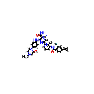 C[C@@H]1[C@H](NC(=O)c2ccc(C3CC3)cc2F)CCCN1c1cnc(C(N)=O)c(Nc2ccc(N3CCN(C)CC3=O)cc2)n1